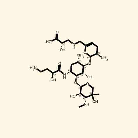 CN[C@@H]1[C@@H](O)[C@@H](O[C@@H]2[C@@H](O)[C@H](O[C@H]3OC(CNC[C@H](O)C(=O)O)=CC[C@H]3N)[C@@H](N)C[C@H]2NC(=O)[C@@H](O)CCN)OC[C@]1(C)O